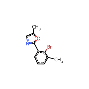 Cc1cnc(-c2cccc(C)c2Br)o1